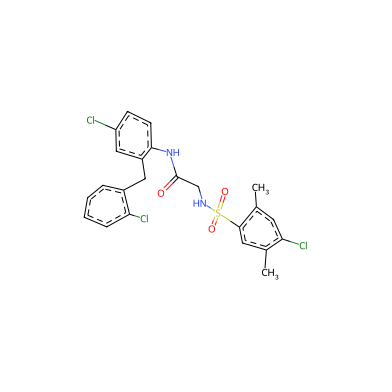 Cc1cc(S(=O)(=O)NCC(=O)Nc2ccc(Cl)cc2Cc2ccccc2Cl)c(C)cc1Cl